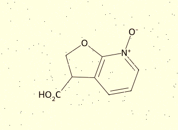 O=C(O)C1COc2c1ccc[n+]2[O-]